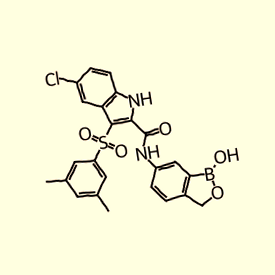 Cc1cc(C)cc(S(=O)(=O)c2c(C(=O)Nc3ccc4c(c3)B(O)OC4)[nH]c3ccc(Cl)cc23)c1